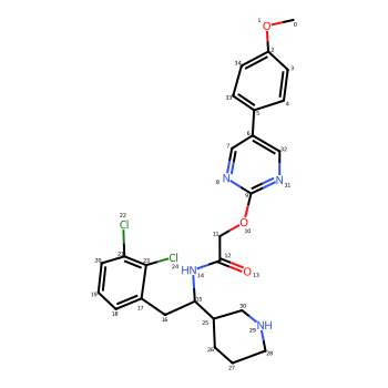 COc1ccc(-c2cnc(OCC(=O)NC(Cc3cccc(Cl)c3Cl)C3CCCNC3)nc2)cc1